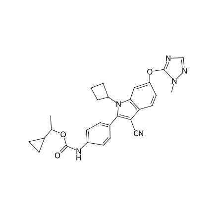 CC(OC(=O)Nc1ccc(-c2c(C#N)c3ccc(Oc4ncnn4C)cc3n2C2CCC2)cc1)C1CC1